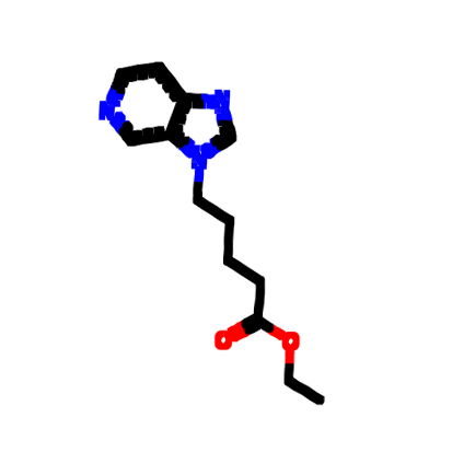 CCOC(=O)CCCCn1cnc2ccncc21